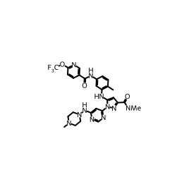 CNC(=O)c1cc(Nc2cc(NC(=O)c3ccc(OC(F)(F)F)nc3)ccc2C)n(-c2cc(NN3CCN(C)CC3)ncn2)n1